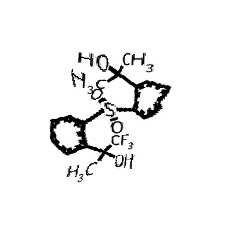 CC(C)(O)c1ccccc1S(=O)(=O)c1ccccc1C(C)(O)C(F)(F)F